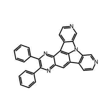 c1ccc(-c2nc3cc4c5ccncc5n5c6cnccc6c(c3nc2-c2ccccc2)c45)cc1